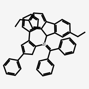 CCc1ccc2c(c1)[CH]([Zr]([C]1=C(c3ccccc3)C=C(c3ccccc3)C1)=[C](c1ccccc1)c1ccccc1)c1cc(CC)ccc1-2